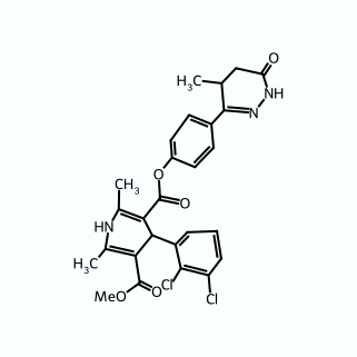 COC(=O)C1=C(C)NC(C)=C(C(=O)Oc2ccc(C3=NNC(=O)CC3C)cc2)C1c1cccc(Cl)c1Cl